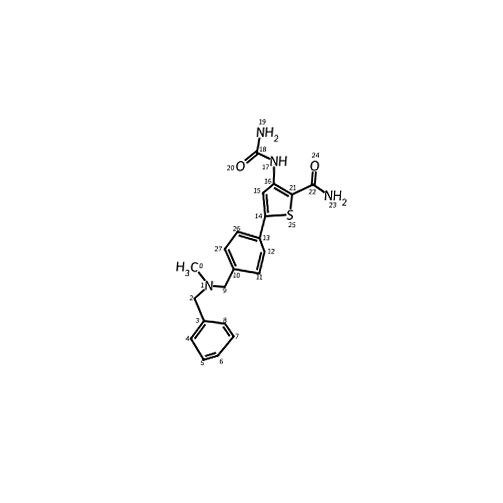 CN(Cc1ccccc1)Cc1ccc(-c2cc(NC(N)=O)c(C(N)=O)s2)cc1